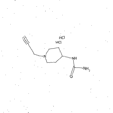 C#CCN1CCC(NC(N)=O)CC1.Cl.Cl